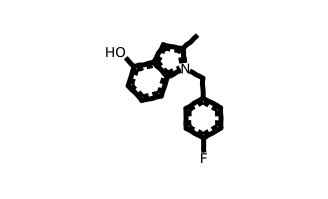 Cc1cc2c(O)cccc2n1Cc1ccc(F)cc1